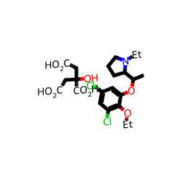 CCOc1c(Cl)cc(Cl)cc1OC(C)C1CCCN1CC.O=C(O)CC(O)(CC(=O)O)C(=O)O